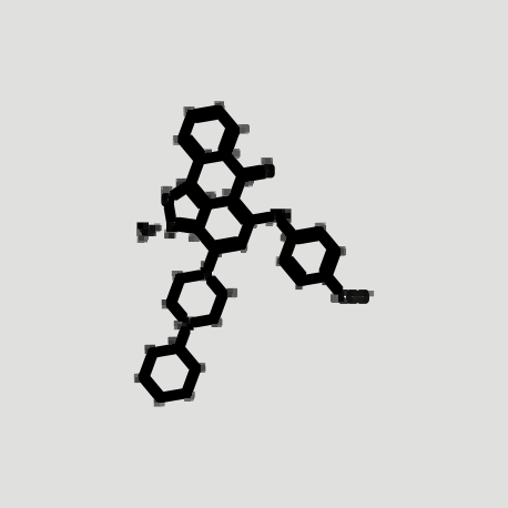 O=C([O-])c1ccc(Nc2cc(N3CCN(C4CCCCC4)CC3)c3noc4c3c2C(=O)c2ccccc2-4)cc1.[Na+]